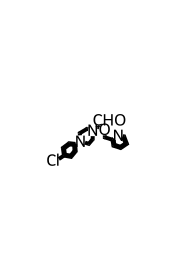 O=CC(OCc1ccccn1)N1CCN(c2ccc(Cl)cc2)CC1